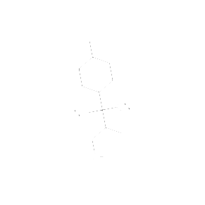 CC1CCC(C(C#N)(C#N)C(C)CC(F)(F)F)CC1